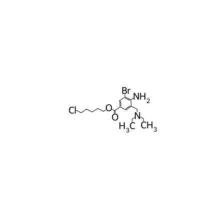 CCN(CC)Cc1cc(C(=O)OCCCCCCl)cc(Br)c1N